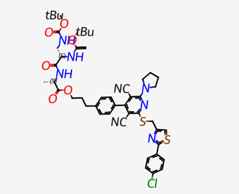 C=C(N[C@@H](CNC(=O)OC(C)(C)C)C(=O)N[C@@H](C)C(=O)OCCCc1ccc(-c2c(C#N)c(SCc3csc(-c4ccc(Cl)cc4)n3)nc(N3CCCC3)c2C#N)cc1)OC(C)(C)C